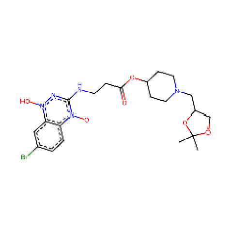 CC1(C)OCC(CN2CCC(OC(=O)CCNc3n[n+](O)c4cc(Br)ccc4[n+]3[O-])CC2)O1